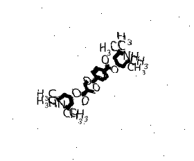 CC1(C)CC(OC(=O)c2ccc(C3OCC(C(=O)OC4CC(C)(C)NC(C)(C)C4)CO3)cc2)CC(C)(C)N1